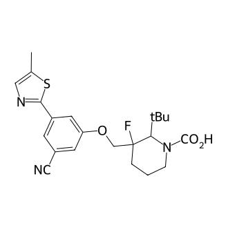 Cc1cnc(-c2cc(C#N)cc(OCC3(F)CCCN(C(=O)O)C3C(C)(C)C)c2)s1